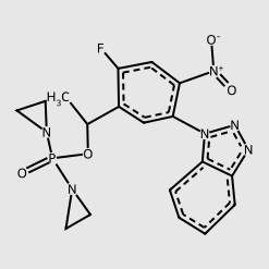 CC(OP(=O)(N1CC1)N1CC1)c1cc(-n2nnc3ccccc32)c([N+](=O)[O-])cc1F